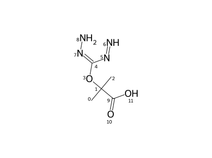 CC(C)(OC(N=N)=NN)C(=O)O